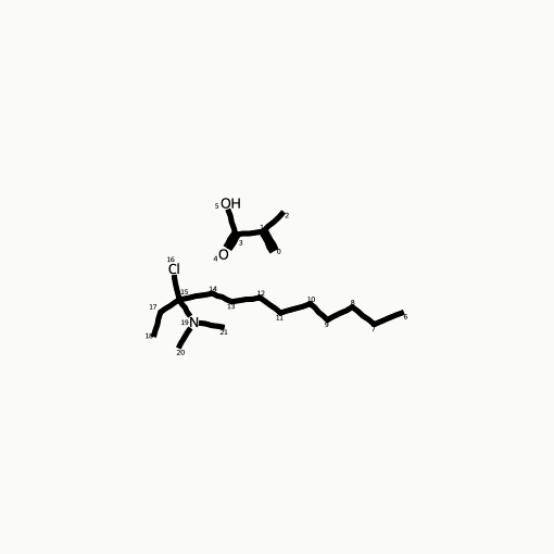 C=C(C)C(=O)O.CCCCCCCCCC(Cl)(CC)N(C)C